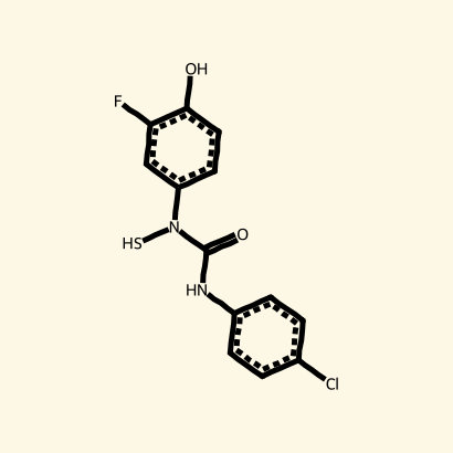 O=C(Nc1ccc(Cl)cc1)N(S)c1ccc(O)c(F)c1